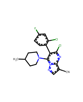 CC1CCN(c2c(-c3ccc(F)cc3Cl)c(Cl)nc3c(C#N)cnn23)CC1